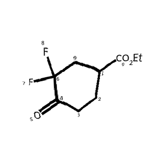 CCOC(=O)C1CCC(=O)C(F)(F)C1